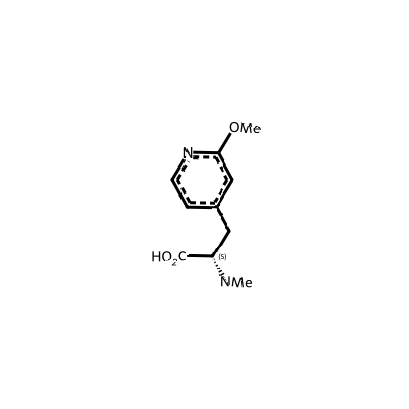 CN[C@@H](Cc1ccnc(OC)c1)C(=O)O